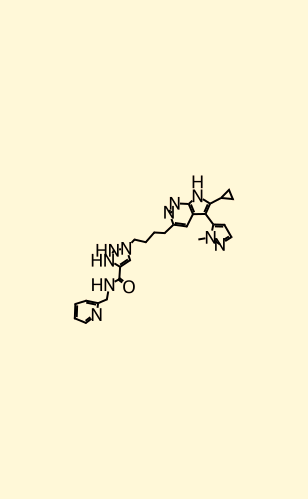 Cn1nccc1-c1c(C2CC2)[nH]c2nnc(CCCCN3C=C(C(=O)NCc4ccccn4)NN3)cc12